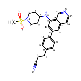 CS(=O)(=O)N1CCC(Nc2cc(-c3ccc(CCC#N)cc3)cc3ccncc23)CC1